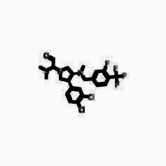 CN(C)C(C=O)N1C[C@H](c2ccc(Cl)c(Cl)c2)[C@H](N(C)Cc2ccc(C(F)(F)F)c(F)c2)C1